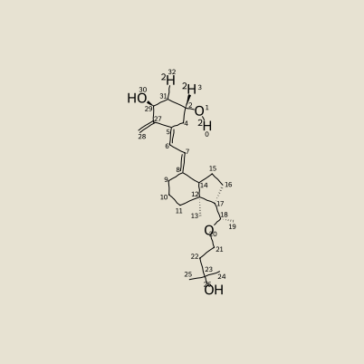 [2H]O[C@]1([2H])CC(=CC=C2CCC[C@@]3(C)C2CC[C@@H]3[C@H](C)OCCC(C)(C)O)C(=C)[C@@H](O)C1[2H]